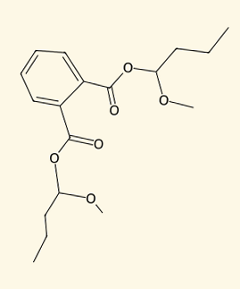 CCCC(OC)OC(=O)c1ccccc1C(=O)OC(CCC)OC